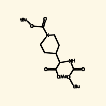 COC(=O)C(NC(=O)OC(C)(C)C)C1CCN(C(=O)OC(C)(C)C)CC1